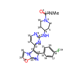 CNC(=O)N1CCC(Nc2nccc(-c3c(-c4ccc(F)cc4)nc4occn34)n2)CC1